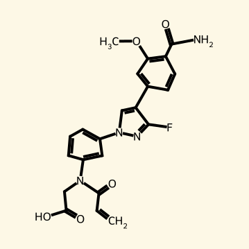 C=CC(=O)N(CC(=O)O)c1cccc(-n2cc(-c3ccc(C(N)=O)c(OC)c3)c(F)n2)c1